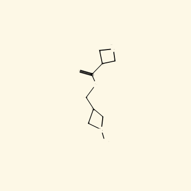 CC(C)(C)N1CC(CNC(=O)C2CNC2)C1